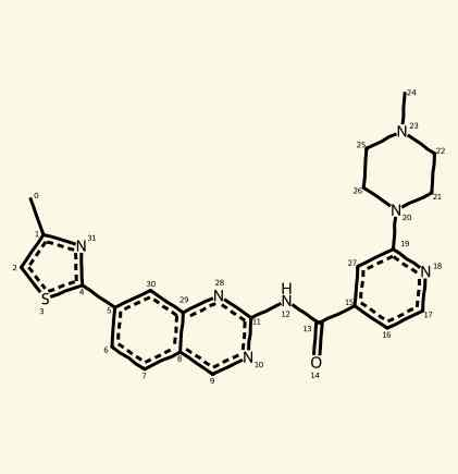 Cc1csc(-c2ccc3cnc(NC(=O)c4ccnc(N5CCN(C)CC5)c4)nc3c2)n1